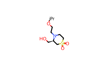 CC(C)OCCN1CCS(=O)(=O)C[C@H]1CO